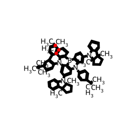 CC(C)(C)c1ccc(N2c3cc(N4c5ccccc5C5(C)CCCC45C)ccc3B3c4ccc(C(C)(C)C)cc4N(c4ccc(C(C)(C)C)cc4-c4ccccc4)c4cc(N5c6ccccc6C6(C)CCCC56C)cc2c43)cc1